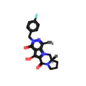 Cc1nn(Cc2ccc(F)cc2)c(=O)c2c(O)c3n(c12)C[C@@H]1CCCN1C3=O